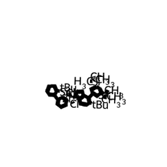 CC(C)(C)C1=Cc2c(ccc(C(C)(C)C)c2-c2cc([Si](C)(C)C)cc([Si](C)(C)C)c2)[CH]1[Zr]([Cl])([Cl])[c]1cccc2c1[SiH2]c1ccccc1-2